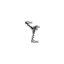 CCCCCCCCCCCCCCCCCCOCC(OCCCCCCCCCCCCCCCCCC)C(=O)NC(C)(C)C